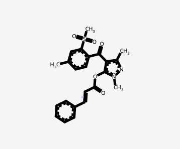 Cc1ccc(C(=O)c2c(C)nn(C)c2OC(=O)/C=C/c2ccccc2)c(S(C)(=O)=O)c1